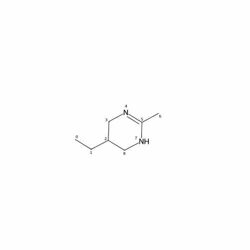 CCC1CN=C(C)NC1